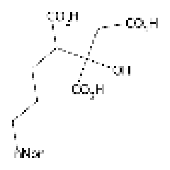 CCCCCCCCCCCCC(C(=O)O)C(O)(CC(=O)O)C(=O)O